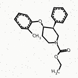 CCOC(=O)N1CC[C@@H](Oc2ccccc2C)[C@@H](c2ccccc2)C1